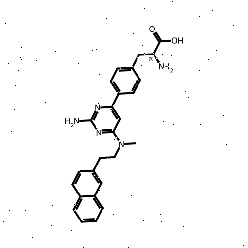 CN(CCc1ccc2ccccc2c1)c1cc(-c2ccc(C[C@H](N)C(=O)O)cc2)nc(N)n1